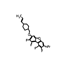 C/C=C/C1CCC(COc2cc3oc4cc(CCC)c(F)c(F)c4c3c(F)c2F)CC1